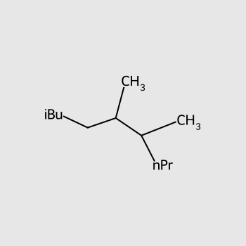 CCCC(C)C(C)CC(C)CC